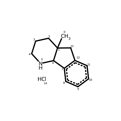 CC12CCCNC1c1ccccc1C2.Cl